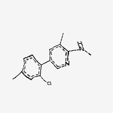 CNc1ncc(-c2ccc(C)cc2Cl)cc1C